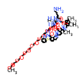 COCCOCCOCCOCCOCCOCCOCCOCCOCCOCCOCCOCC(=O)NC(=O)[C@H](C)N(CCOC12CC3(C)CC(C)(CC(Cn4ncc(-c5ccc(N6CCc7cccc(C(=O)Nc8nc9ccccc9s8)c7C6)nc5C(=O)O)c4C)(C3)C1)C2)C(=O)[C@@H](N)CCCCN